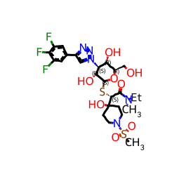 CCN(C)C(=O)[C@@H](S[C@@H]1O[C@H](CO)[C@H](O)[C@H](n2cc(-c3cc(F)c(F)c(F)c3)nn2)[C@H]1O)C1(O)CCN(S(C)(=O)=O)CC1